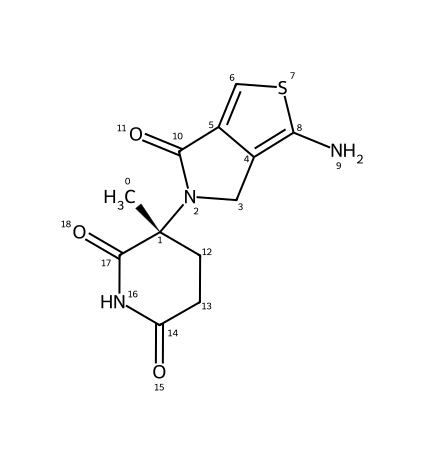 C[C@@]1(N2Cc3c(csc3N)C2=O)CCC(=O)NC1=O